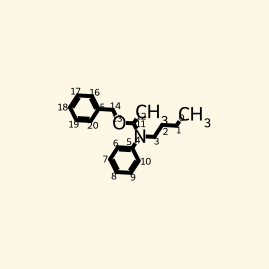 CCCCN(c1ccccc1)C(C)OCc1ccccc1